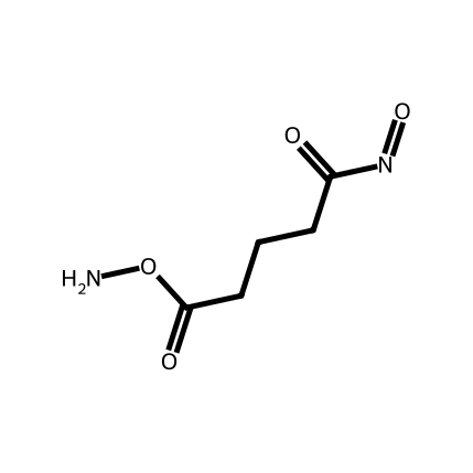 NOC(=O)CCCC(=O)N=O